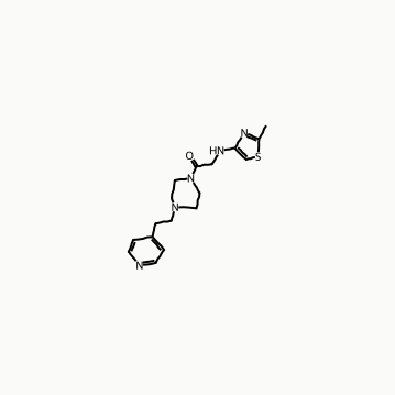 Cc1nc(NCC(=O)N2CCN(CCc3ccncc3)CC2)cs1